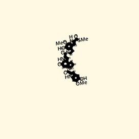 COc1cc2[nH]c(C(=O)N3C4=CC(=O)c5[nH]c(C(=O)N6CCc7c6c(O)c(OC)c6[nH]c(C(=O)SC)cc76)cc5C45CCC3C5)cc2cc1O